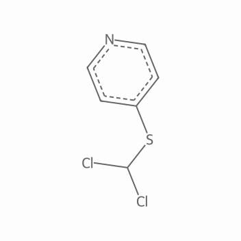 ClC(Cl)Sc1ccncc1